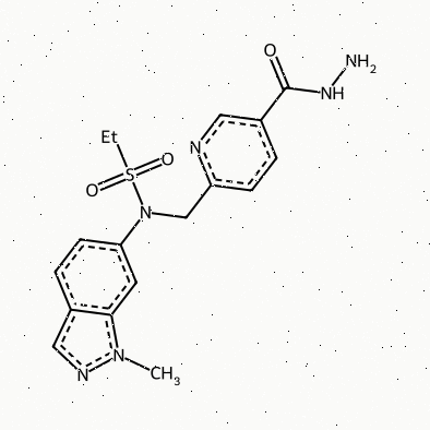 CCS(=O)(=O)N(Cc1ccc(C(=O)NN)cn1)c1ccc2cnn(C)c2c1